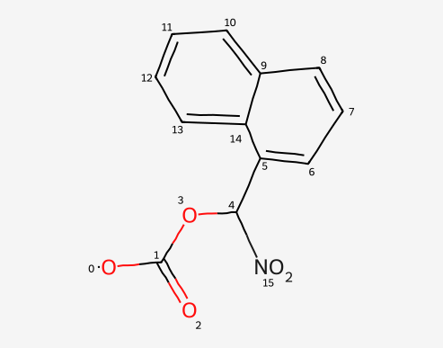 [O]C(=O)OC(c1cccc2ccccc12)[N+](=O)[O-]